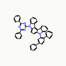 c1ccc(-c2ccc(-c3ccccc3)c(-n3c4ccccc4c4c5c6ccccc6n(-c6nc(-c7ccccc7)nc(-c7ccccc7)n6)c5ccc43)c2)cc1